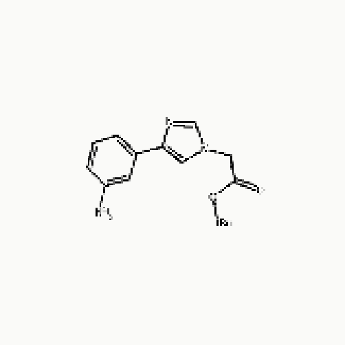 CC(C)(C)OC(=O)Cn1cnc(-c2cccc(N)c2)c1